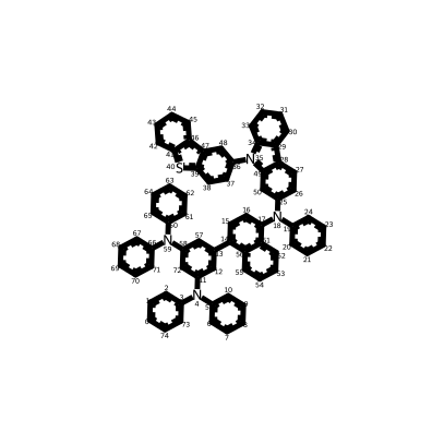 c1ccc(N(c2ccccc2)c2cc(-c3ccc(N(c4ccccc4)c4ccc5c6ccccc6n(-c6ccc7sc8ccccc8c7c6)c5c4)c4ccccc34)cc(N(c3ccccc3)c3ccccc3)c2)cc1